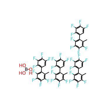 Cc1c(F)c(F)c(F)c(F)c1-c1cc(F)c(F)c(F)c1F.Cc1c(F)c(F)c(F)c(F)c1-c1cc(F)c(F)c(F)c1F.Cc1c(F)c(F)c(F)c(F)c1-c1cc(F)c(F)c(F)c1F.Cc1c(F)c(F)c(F)c(F)c1-c1cc(F)c(F)c(F)c1F.OB(O)O